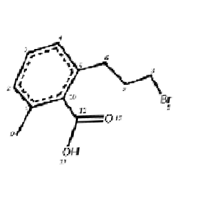 Cc1cccc(CCCBr)c1C(=O)O